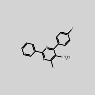 CCOC(=O)c1c(C)nc(-c2ccccc2)nc1-c1ccc(F)cc1